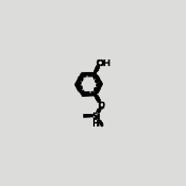 C[SiH](C)Oc1cccc(O)c1